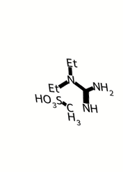 CCN(CC)C(=N)N.CS(=O)(=O)O